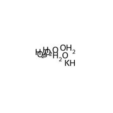 O.O.O.O.[KH].[Os]